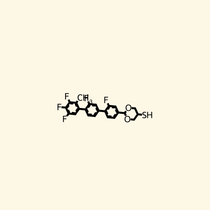 Cc1c(-c2ccc(-c3ccc(C4OCC(S)CO4)cc3F)cc2F)cc(F)c(F)c1F